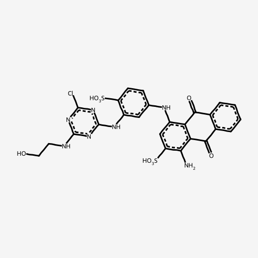 Nc1c(S(=O)(=O)O)cc(Nc2ccc(S(=O)(=O)O)c(Nc3nc(Cl)nc(NCCO)n3)c2)c2c1C(=O)c1ccccc1C2=O